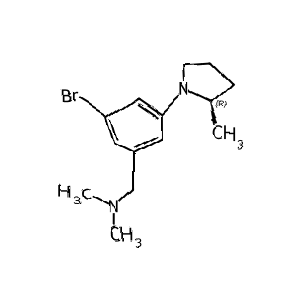 C[C@@H]1CCCN1c1cc(Br)cc(CN(C)C)c1